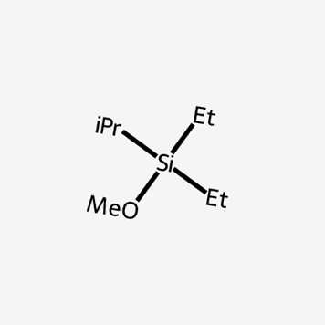 [CH2]O[Si](CC)(CC)C(C)C